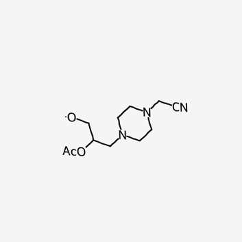 CC(=O)OC(C[O])CN1CCN(CC#N)CC1